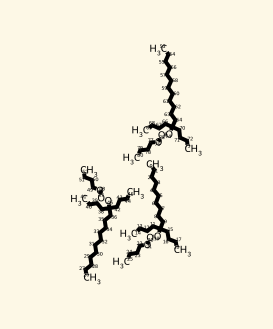 CCCCCCCCCCC(CCCC)(CCCC)OOOCCCC.CCCCCCCCCCCC(CCCC)(CCCC)OOOCCCC.CCCCCCCCCCCCC(CCCC)(CCCC)OOOCCCC